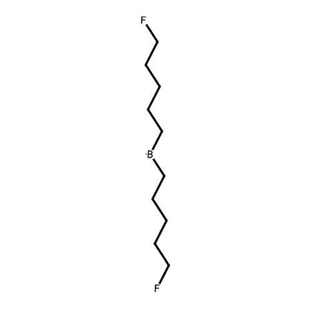 FCCCCC[B]CCCCCF